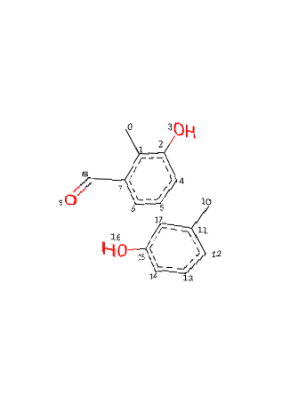 Cc1c(O)cccc1C=O.Cc1cccc(O)c1